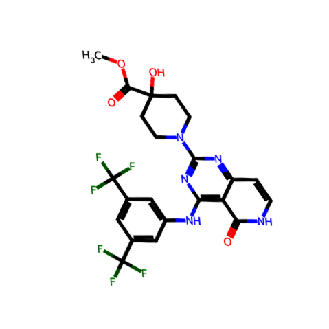 COC(=O)C1(O)CCN(c2nc(Nc3cc(C(F)(F)F)cc(C(F)(F)F)c3)c3c(=O)[nH]ccc3n2)CC1